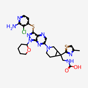 Cc1csc(C2(CNC(=O)O)C3CCN(c4cnc5c(Sc6ccnc(N)c6Cl)nn(C6CCCCO6)c5n4)CC32)n1